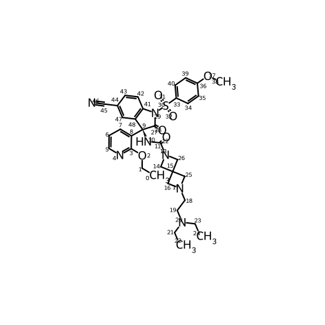 CCOc1ncccc1[C@@]1(NC(=O)N2CC3(CN(CCN(CC)CC)C3)C2)C(=O)N(S(=O)(=O)c2ccc(OC)cc2)c2ccc(C#N)cc21